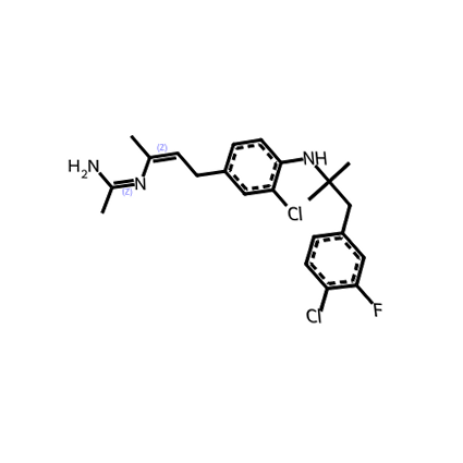 CC(=C/Cc1ccc(NC(C)(C)Cc2ccc(Cl)c(F)c2)c(Cl)c1)/N=C(/C)N